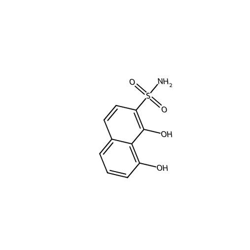 NS(=O)(=O)c1ccc2cccc(O)c2c1O